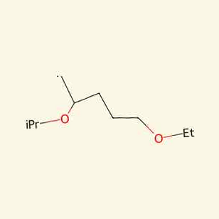 [CH2]C(CCCOCC)OC(C)C